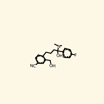 CN(C)C(O)(CCCc1ccc(C#N)cc1CO)c1ccc(F)cc1